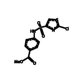 COC(=O)c1ccc(NS(=O)(=O)c2csc(Cl)n2)cc1